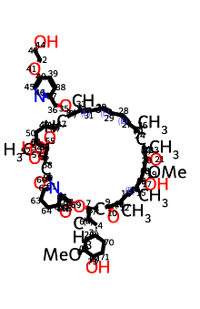 CO[C@@H]1C[C@H](C[C@@H](C)[C@@H]2CC(=O)[C@H](C)/C=C(\C)[C@@H](O)[C@@H](OC)C(=O)[C@H](C)C[C@H](C)/C=C/C=C/C=C(\C)[C@H](OCc3ccc(OCCO)cn3)C[C@@H]3CC[C@@H](C)[C@@](O)(O3)C(=O)CC(=O)N3CCCC[C@H]3C(=O)O2)CC[C@H]1O